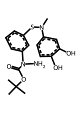 CN(Sc1cccc(N(N)C(=O)OC(C)(C)C)c1)c1ccc(O)c(O)c1